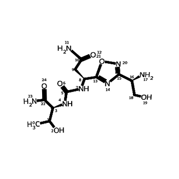 CC(O)[C@H](NC(=O)N[C@@H](CC(N)=O)c1nc([C@@H](N)CO)no1)C(N)=O